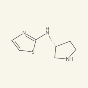 c1csc(N[C@@H]2CCNC2)n1